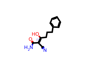 N#C/C(C(N)=O)=C(/O)CCCc1ccccc1